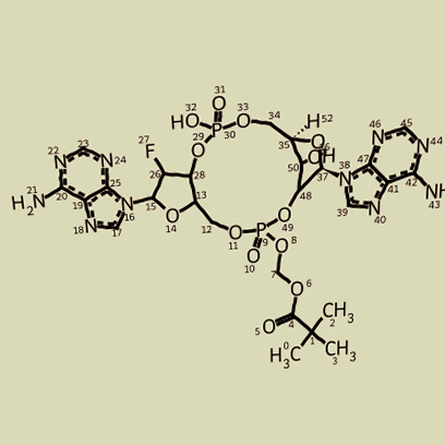 CC(C)(C)C(=O)OCOP1(=O)OCC2OC(n3cnc4c(N)ncnc43)C(F)C2OP(=O)(O)OC[C@H]2O[C@@H](n3cnc4c(N)ncnc43)C(O1)C2O